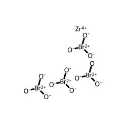 [O-][Br+2]([O-])[O-].[O-][Br+2]([O-])[O-].[O-][Br+2]([O-])[O-].[O-][Br+2]([O-])[O-].[Zr+4]